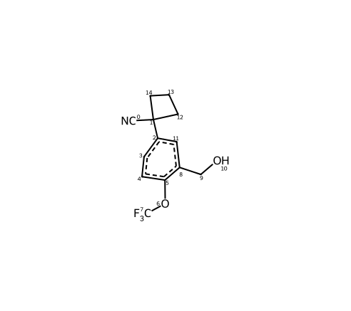 N#CC1(c2ccc(OC(F)(F)F)c(CO)c2)CCC1